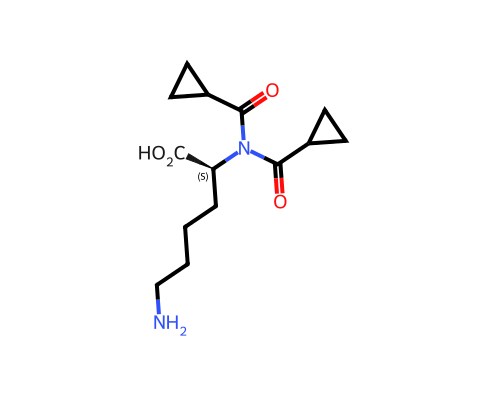 NCCCC[C@@H](C(=O)O)N(C(=O)C1CC1)C(=O)C1CC1